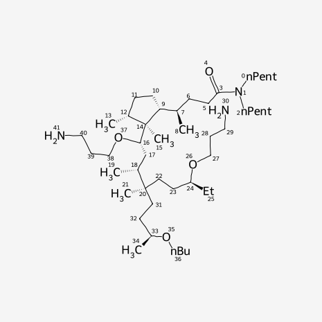 CCCCCN(CCCCC)C(=O)CC[C@@H](C)[C@H]1CC[C@@H](C)[C@]1(C)[C@H](C[C@@H](C)[C@@](C)(CC[C@H](CC)OCCCN)CC[C@H](C)OCCCC)OCCCN